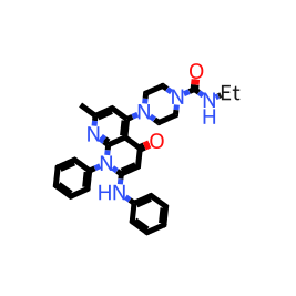 CCNC(=O)N1CCN(c2cc(C)nc3c2c(=O)cc(Nc2ccccc2)n3-c2ccccc2)CC1